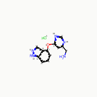 Cl.NCc1cc(Oc2cccc3[nH]ncc23)ncn1